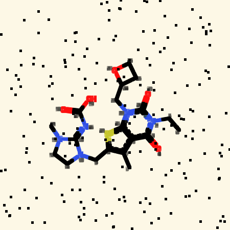 CCn1c(=O)c2c(C)c(CN3CCN(C)C3=NC(=O)O)sc2n(CC2CCO2)c1=O